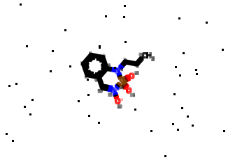 CCCN1c2ccccc2C=[N+]([O-])S1(=O)=O